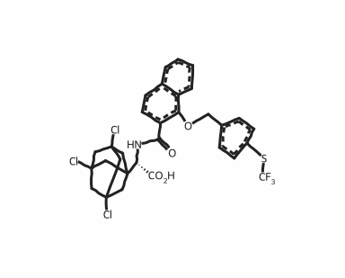 O=C(N[C@H](C(=O)O)C12CC3(Cl)CC(Cl)(CC(Cl)(C3)C1)C2)c1ccc2ccccc2c1OCc1ccc(SC(F)(F)F)cc1